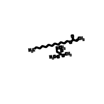 C=CC(=O)OCCCCCCCCCCCC.CO[Si](CS)(OC)OC